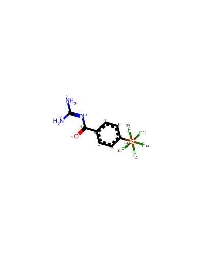 NC(N)=NC(=O)c1ccc(S(F)(F)(F)(F)F)cc1